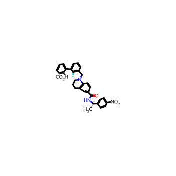 C[C@H](NC(=O)c1ccc2c(c1)CCCN2Cc1cccc(-c2ccccc2C(=O)O)c1F)c1ccc([N+](=O)[O-])cc1